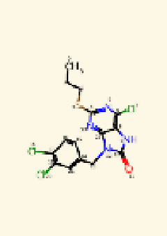 CCCSc1nc(Cl)c2[nH]c(=O)n(Cc3ccc(Cl)c(Cl)c3)c2n1